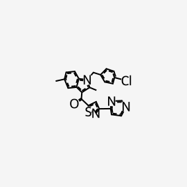 Cc1ccc2c(c1)c(C(=O)c1cc(-c3ccncn3)ns1)c(C)n2Cc1ccc(Cl)cc1